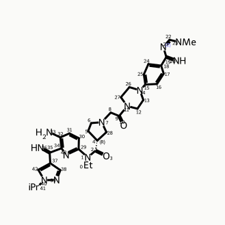 CCN(C(=O)[C@@H]1CCN(CC(=O)N2CCN(c3ccc(C(=N)/N=C\NC)cc3)CC2)C1)c1ccc(N)c(C(=N)c2cnn(C(C)C)c2)n1